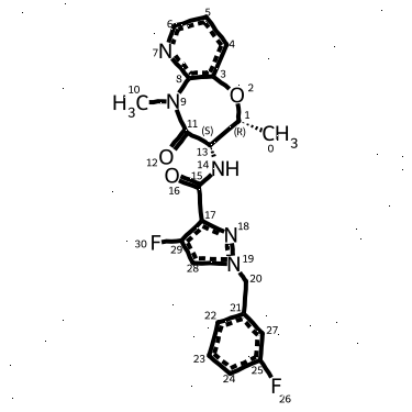 C[C@H]1Oc2cccnc2N(C)C(=O)[C@H]1NC(=O)c1nn(Cc2cccc(F)c2)cc1F